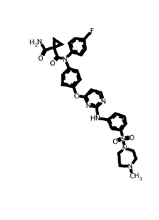 CN1CCN(S(=O)(=O)c2cccc(Nc3nccc(Oc4ccc(N(C(=O)C5(C(N)=O)CC5)c5ccc(F)cc5)cc4)n3)c2)CC1